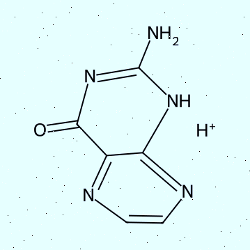 Nc1nc(=O)c2nccnc2[nH]1.[H+]